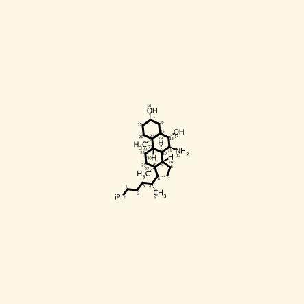 CC(C)CCC[C@@H](C)[C@H]1CC[C@H]2[C@@H]3[C@H](N)[C@@H](O)C4C[C@@H](O)CC[C@]4(C)[C@H]3CC[C@]12C